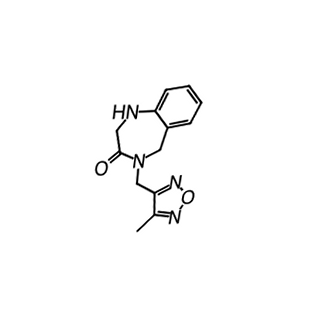 Cc1nonc1CN1Cc2ccccc2NCC1=O